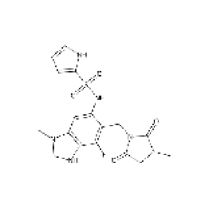 CC1CC(=O)N(Cc2c(NS(=O)(=O)c3ccc[nH]3)cc3c(c2F)NCN3C)C1=O